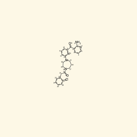 Nc1ncccc1C(=O)c1cccc(N2CCCN(C(=O)Cc3ccccc3Cl)CC2)n1